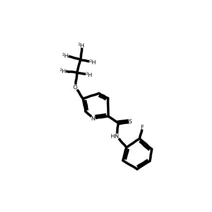 [2H]C([2H])([2H])C([2H])([2H])Oc1ccc(C(=S)Nc2ccccc2F)nc1